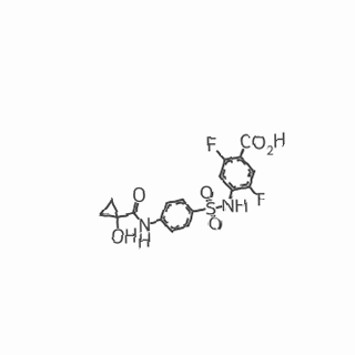 O=C(O)c1cc(F)c(NS(=O)(=O)c2ccc(NC(=O)C3(O)CC3)cc2)cc1F